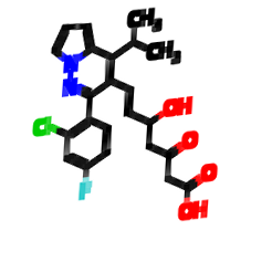 CC(C)c1c(/C=C/C(O)CC(=O)CC(=O)O)c(-c2ccc(F)cc2Cl)nn2cccc12